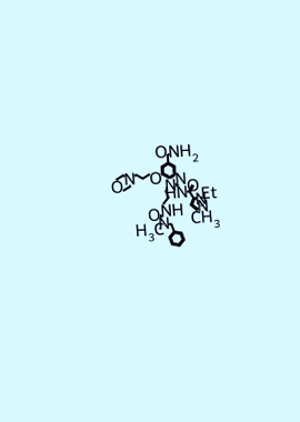 CCn1nc(C)cc1C(=O)Nc1nc2cc(C(N)=O)cc(OCCCN3CCOCC3)c2n1CCCNC(=O)N(C)Cc1ccccc1